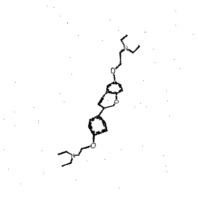 CCN(CC)CCOc1ccc(C2C=Cc3cc(OCCN(CC)CC)ccc3OC2)cc1